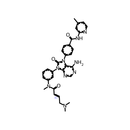 Cc1ccnc(NC(=O)c2ccc(-n3c(=O)n(-c4cccc(N(C)C(=O)/C=C/CN(C)C)c4)c4ncnc(N)c43)cc2)c1